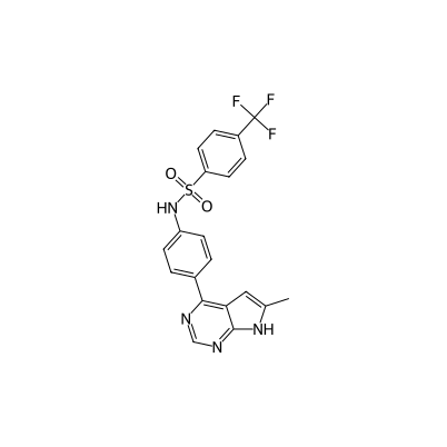 Cc1cc2c(-c3ccc(NS(=O)(=O)c4ccc(C(F)(F)F)cc4)cc3)ncnc2[nH]1